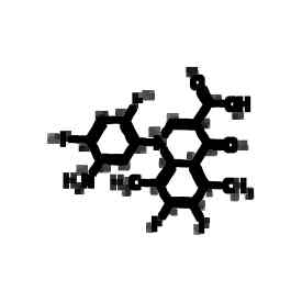 Cc1c(F)c(F)c(C)c2c1c(=O)c(C(=O)O)cn2-c1cc(N)c(F)cc1F